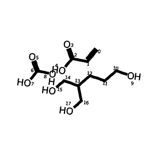 C=CC(=O)O.O=C(O)O.OCCCC(CO)CO